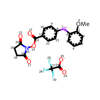 COc1ccccc1[I+]c1ccc(C(=O)ON2C(=O)CCC2=O)cc1.O=C([O-])C(F)(F)F